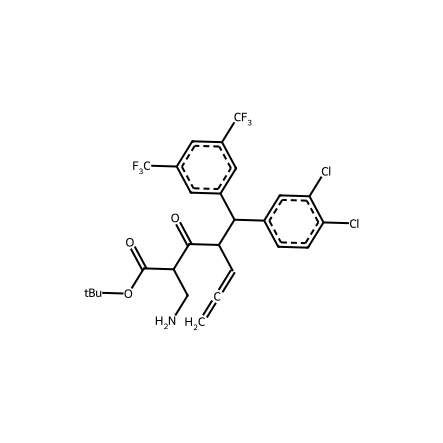 C=C=CC(C(=O)C(CN)C(=O)OC(C)(C)C)C(c1cc(C(F)(F)F)cc(C(F)(F)F)c1)c1ccc(Cl)c(Cl)c1